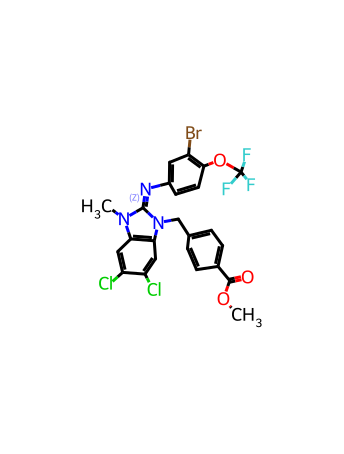 COC(=O)c1ccc(Cn2/c(=N\c3ccc(OC(F)(F)F)c(Br)c3)n(C)c3cc(Cl)c(Cl)cc32)cc1